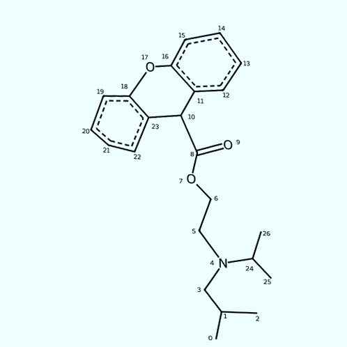 CC(C)CN(CCOC(=O)C1c2ccccc2Oc2ccccc21)C(C)C